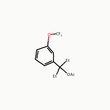 CCC(CC)(OC(C)=O)c1cccc(OC(F)(F)F)c1